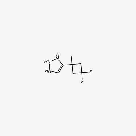 CC1(C2=CNNN2)CC(F)(F)C1